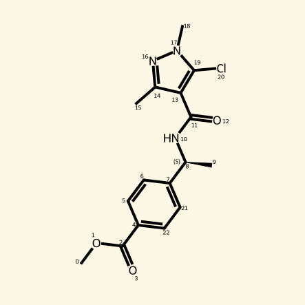 COC(=O)c1ccc([C@H](C)NC(=O)c2c(C)nn(C)c2Cl)cc1